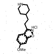 COc1ccc2c(CCC3CCNCC3)noc2c1.Cl